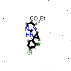 CCOC(=O)c1cnc(NC2(c3ccc(Cl)cc3F)CC2)nc1